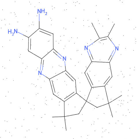 Cc1nc2cc3c(cc2nc1C)C1(CC3(C)C)CC(C)(C)c2cc3nc4cc(N)c(N)cc4nc3cc21